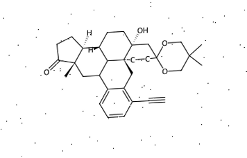 C#Cc1cccc2c1C[C@]13CCC4(C[C@]1(O)CC[C@@H]1C3C2C[C@]2(C)C(=O)CC[C@@H]12)OCC(C)(C)CO4